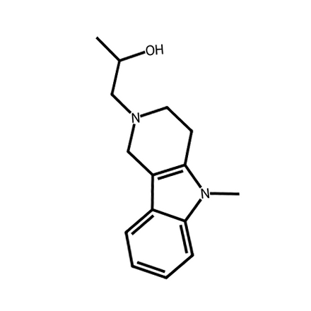 CC(O)CN1CCc2c(c3ccccc3n2C)C1